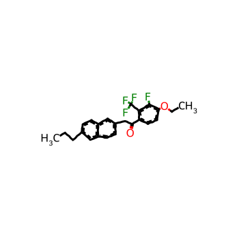 CCCc1ccc2cc(CC(=O)c3ccc(OCC)c(F)c3C(F)(F)F)ccc2c1